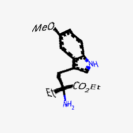 CCOC(=O)C(N)(CC)Cc1c[nH]c2ccc(OC)cc12